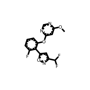 COc1cc(Oc2cccc(F)c2-c2cc(C(F)F)no2)ncn1